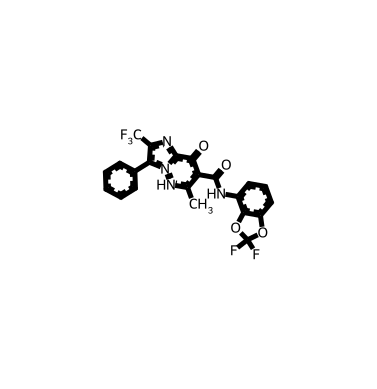 Cc1[nH]n2c(-c3ccccc3)c(C(F)(F)F)nc2c(=O)c1C(=O)Nc1cccc2c1OC(F)(F)O2